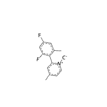 [CH2-][n+]1ccc(C)cc1-c1c(C)cc(F)cc1F